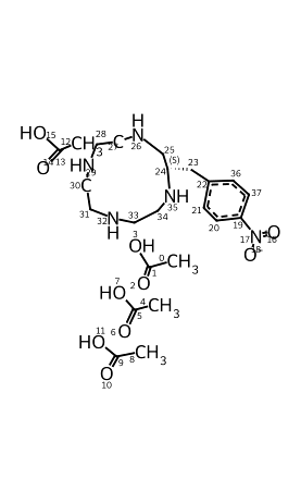 CC(=O)O.CC(=O)O.CC(=O)O.CC(=O)O.O=[N+]([O-])c1ccc(C[C@H]2CNCCNCCNCCN2)cc1